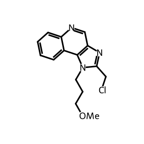 COCCCn1c(CCl)nc2cnc3ccccc3c21